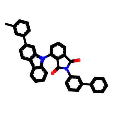 Cc1cccc(-c2ccc3c4ccccc4n(-c4cccc5c4C(=O)N(c4cccc(-c6ccccc6)c4)C5=O)c3c2)c1